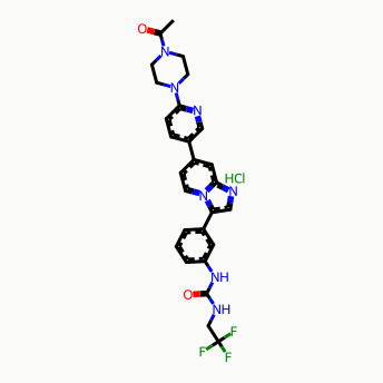 CC(=O)N1CCN(c2ccc(-c3ccn4c(-c5cccc(NC(=O)NCC(F)(F)F)c5)cnc4c3)cn2)CC1.Cl